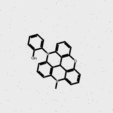 CN1c2cccc3c2C2c4c(cccc4N(c4ccccc4O)c4cccc1c42)O3